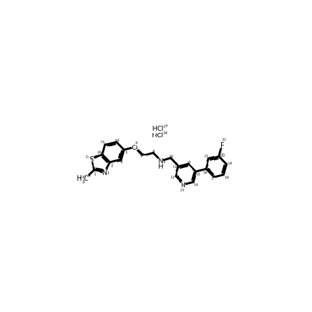 Cc1nc2cc(OCCNCc3cncc(-c4cccc(F)c4)c3)ccc2s1.Cl.Cl